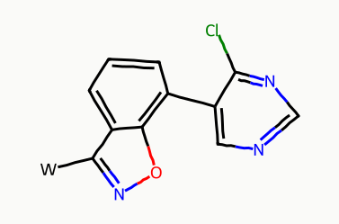 Clc1ncncc1-c1cccc2[c]([W])noc12